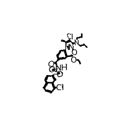 CCCN(CCC)c1nn(-c2ccc(C(=O)NS(=O)(=O)c3ccc4cccc(Cl)c4c3)cc2C(=O)OCC)c(C)c1Cl